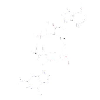 Nc1nc2c(ncn2[C@@H]2O[C@@H]3COP(=O)(S)O[C@H]4[C@@H](O)[C@H](n5cnc6c5N=CCC6=O)O[C@@H]4COP(=O)(O)O[C@@H]2[C@@H]3O)c(=O)[nH]1